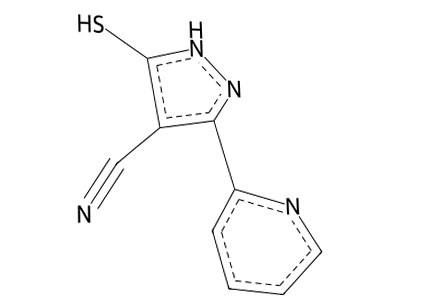 N#Cc1c(-c2ccccn2)n[nH]c1S